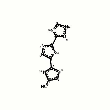 N#Cc1csc(-c2nnc(-c3ncno3)s2)n1